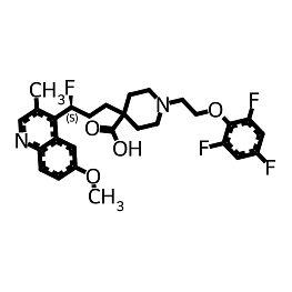 COc1ccc2ncc(C)c([C@@H](F)CCC3(C(=O)O)CCN(CCOc4c(F)cc(F)cc4F)CC3)c2c1